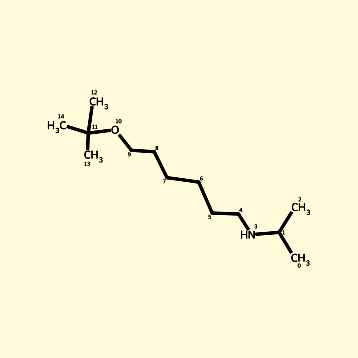 CC(C)NCCCCCCOC(C)(C)C